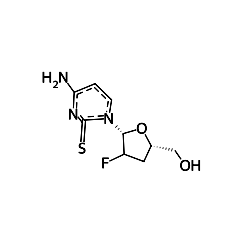 Nc1ccn([C@@H]2O[C@H](CO)CC2F)c(=S)n1